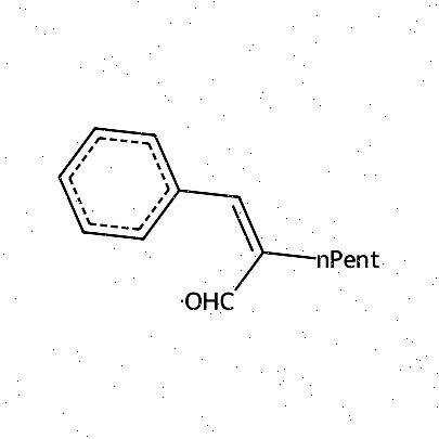 CCCCCC([C]=O)=Cc1ccccc1